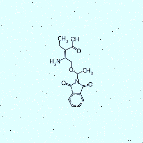 CCC(C(=O)O)=C(N)COC(C)N1C(=O)c2ccccc2C1=O